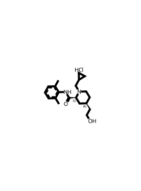 Cc1cccc(C)c1NC(=O)[C@@H]1C[C@H](CCO)CCN1CC1CC1.Cl